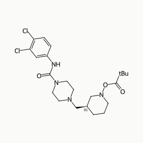 CC(C)(C)C(=O)ON1CCC[C@@H](CN2CCN(C(=O)Nc3ccc(Cl)c(Cl)c3)CC2)C1